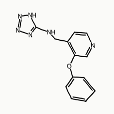 c1ccc(Oc2cnccc2CNc2nnn[nH]2)cc1